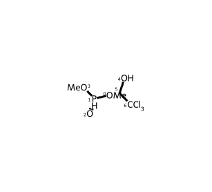 CO[PH](=O)OC.OCC(Cl)(Cl)Cl